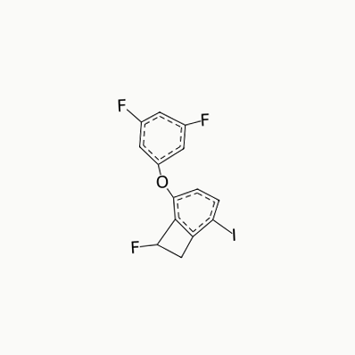 Fc1cc(F)cc(Oc2ccc(I)c3c2C(F)C3)c1